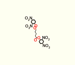 O=C(CCCCOOc1ccc([N+](=O)[O-])cc1[N+](=O)[O-])Oc1ccc([N+](=O)[O-])cc1[N+](=O)[O-]